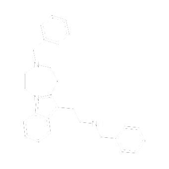 c1ccc(CNCCc2c3n(c4ccccc24)CCN(Cc2ccccc2)CC3)cc1